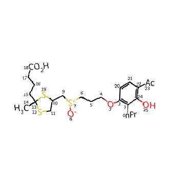 CCCc1c(OCCC[S+]([O-])CC2CSC(C)(CCCC(=O)O)S2)ccc(C(C)=O)c1O